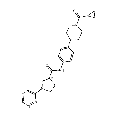 O=C(Nc1ccc(C2CCN(C(=O)C3CC3)CC2)cc1)[C@H]1CCN(c2cccnn2)C1